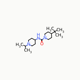 CC(C)N1CCC(NC(=O)N2CCC(C(C)(C)C)CC2)CC1